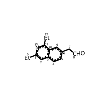 CCc1cc2ccc(CC=O)cc2c(CC)n1